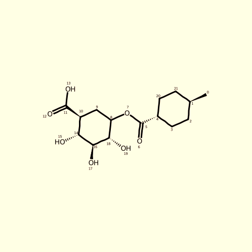 C[C@H]1CC[C@H](C(=O)OC2C[C@H](C(=O)O)[C@@H](O)[C@H](O)[C@H]2O)CC1